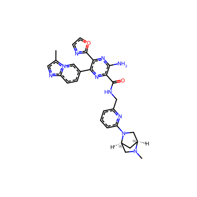 Cc1cnc2ccc(-c3nc(C(=O)NCc4cccc(N5C[C@@H]6C[C@H]5CN6C)n4)c(N)nc3-c3ncco3)cn12